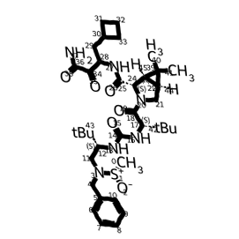 C[S+]([O-])N(Cc1ccccc1)C[C@@H](NC(=O)N[C@H](C(=O)N1C[C@H]2[C@@H]([C@H]1C(=O)NC(CC1CCC1)C(=O)C(N)=O)C2(C)C)C(C)(C)C)C(C)(C)C